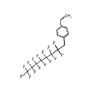 C=Cc1ccc(CC(F)(F)C(F)(F)C(F)(F)C(F)(F)C(F)(F)C(F)(F)C(F)(F)F)cc1